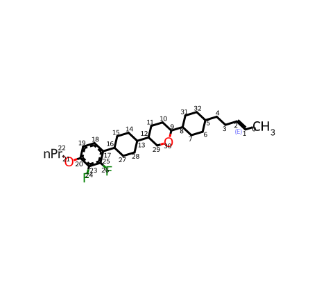 C/C=C/CCC1CCC(C2CCC(C3CCC(c4ccc(OCCC)c(F)c4F)CC3)CO2)CC1